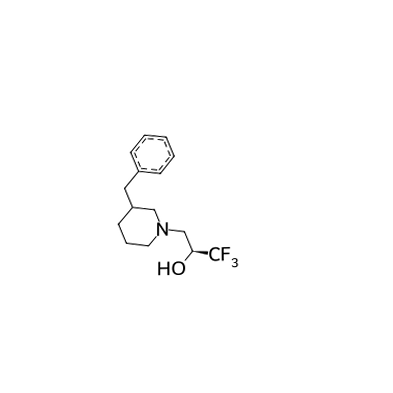 O[C@@H](CN1CCCC(Cc2ccccc2)C1)C(F)(F)F